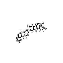 O=C1CCC(N2Cc3cc(N4CCN(Cc5cccc6nccnc56)CC4)c(F)cc3C2=O)C(=O)N1